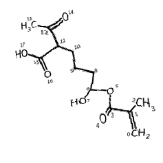 C=C(C)C(=O)OC(O)CCCC(C(C)=O)C(=O)O